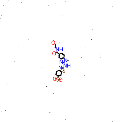 COCCNC(=O)c1ccc2c(c1)nc(Nc1nc3ccc(S(C)(=O)=O)cc3s1)n2C